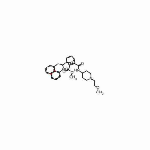 COCCN1CCC(NC(=O)C2=C(C(=O)OC)C3(C(Cc4ccccc4)Nc4ccccc4)C=CC2O3)CC1